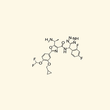 C[C@H](N)c1oc(-c2ccc(OC(F)F)c(OCC3CC3)c2)nc1C(=O)NC(c1nn[nH]n1)c1ccc(F)cc1F